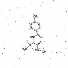 CC(C)COc1ccc(C(=O)N[C@H](C(=O)NO)C(C)(C)N)cc1